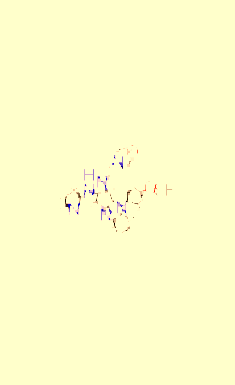 FC(F)(F)Oc1ccc(N2C3=C/C(=N\CCN4CCOCC4)C(Nc4cccnc4)=CC3=NC3=CC=CCC32)cc1